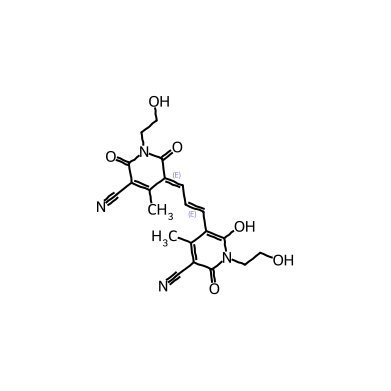 CC1=C(C#N)C(=O)N(CCO)C(=O)/C1=C/C=C/c1c(C)c(C#N)c(=O)n(CCO)c1O